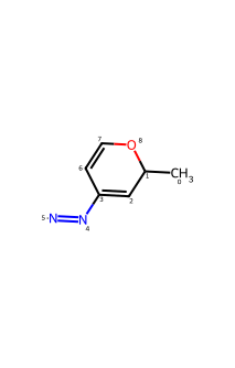 CC1C=C(N=[N])C=CO1